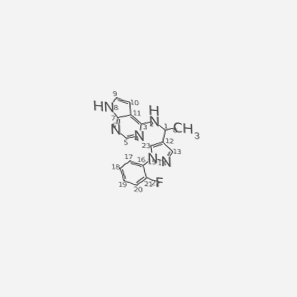 CC(Nc1ncnc2[nH]ccc12)c1cnn(-c2ccccc2F)c1